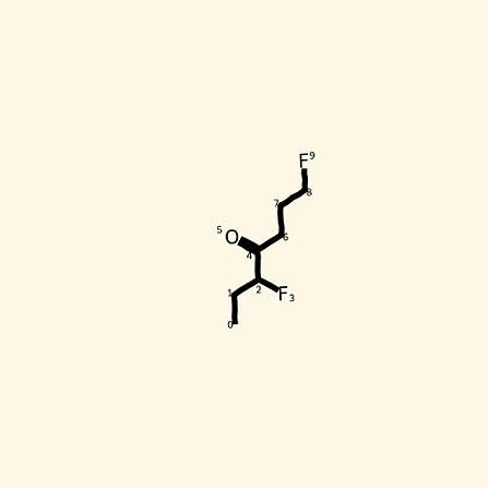 CCC(F)C(=O)CCCF